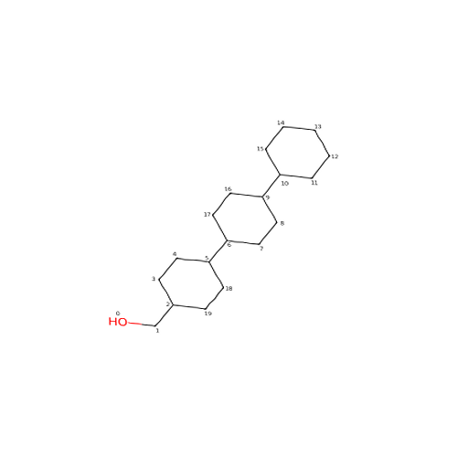 OCC1CCC(C2CCC(C3CCCCC3)CC2)CC1